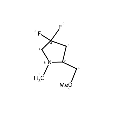 COCC1CC(F)(F)CN1C